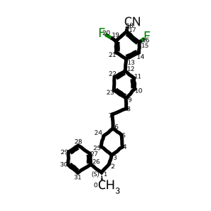 C[C@@H](CC1CCC(CCc2ccc(-c3cc(F)c(C#N)c(F)c3)cc2)CC1)c1ccccc1